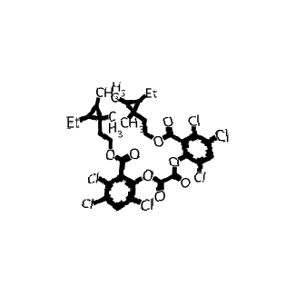 CCC1C(C)C1(C)CCOC(=O)c1c(Cl)c(Cl)cc(Cl)c1OC(=O)C(=O)Oc1c(Cl)cc(Cl)c(Cl)c1C(=O)OCCC1(C)C(C)C1CC